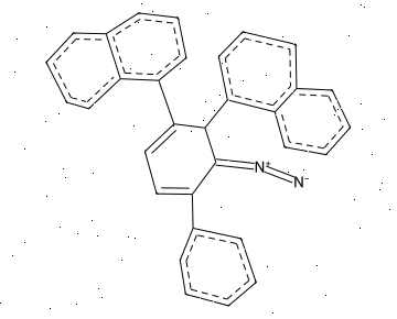 [N-]=[N+]=C1C(c2ccccc2)=CC=C(c2cccc3ccccc23)C1c1cccc2ccccc12